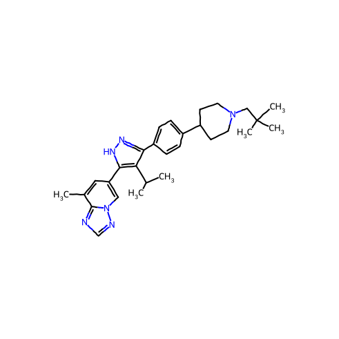 Cc1cc(-c2[nH]nc(-c3ccc(C4CCN(CC(C)(C)C)CC4)cc3)c2C(C)C)cn2ncnc12